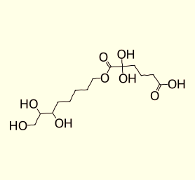 O=C(O)CCCC(O)(O)C(=O)OCCCCCC(O)C(O)CO